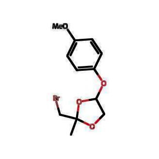 COc1ccc(OC2COC(C)(CBr)O2)cc1